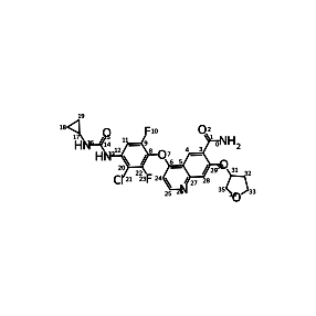 NC(=O)c1cc2c(Oc3c(F)cc(NC(=O)NC4CC4)c(Cl)c3F)ccnc2cc1OC1CCOC1